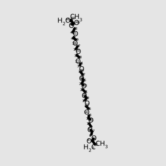 C=C(C)C(=O)OCCOCCOCCOCCOCCOCCOCCOCCOCCOCCOCCOCCOCCOC(=O)C(=C)C